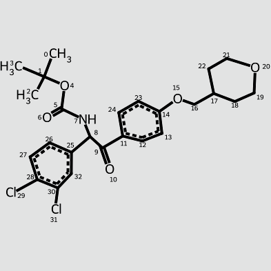 CC(C)(C)OC(=O)NC(C(=O)c1ccc(OCC2CCOCC2)cc1)c1ccc(Cl)c(Cl)c1